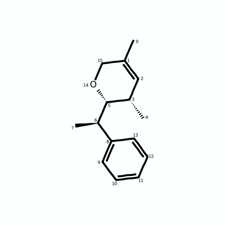 CC1=C[C@H](C)[C@H]([C@H](C)c2ccccc2)OC1